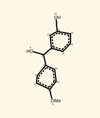 COc1ccc(C(O)c2cccc(O)c2)cc1